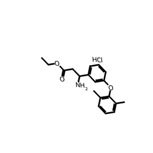 CCOC(=O)CC(N)c1cccc(Oc2c(C)cccc2C)c1.Cl